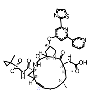 C[C@@H]1CC/C=C\[C@@H]2C[C@@]2(C(=O)NS(=O)(=O)C2(C)CC2)NC(=O)[C@@H]2C[C@@H](Oc3cc(-c4cccnc4)nc(-c4nccs4)c3)CN2C(=O)[C@@H](NC(=O)O)[C@H](C)C1